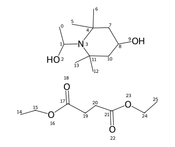 CC(O)N1C(C)(C)CC(O)CC1(C)C.CCOC(=O)CCC(=O)OCC